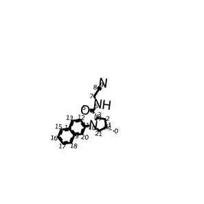 C[C@H]1C[C@@H](C(=O)NCC#N)N(c2ccc3ccccc3c2)C1